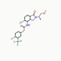 COC[C@@H](C)N1Cc2c(ccc(Cl)c2NC(=O)Cc2ccc(F)c(C(F)(F)F)c2)C1=O